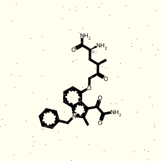 Cc1c(C(=O)C(N)=O)c2c(OCC(=O)C(C)C[C@H](N)C(N)=O)cccc2n1Cc1ccccc1